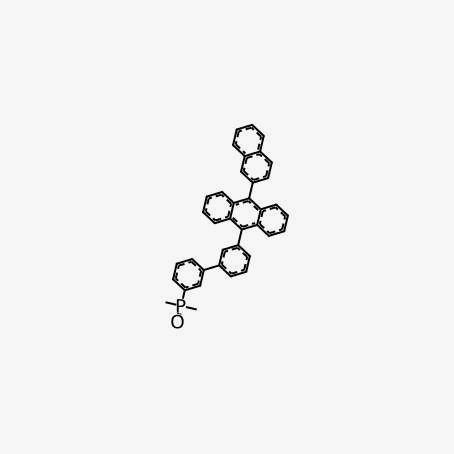 CP(C)(=O)c1cccc(-c2cccc(-c3c4ccccc4c(-c4ccc5ccccc5c4)c4ccccc34)c2)c1